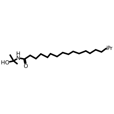 CC(C)CCCCCCCCCCCCCCC(=O)NC(C)(C)O